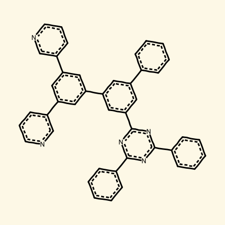 c1ccc(-c2cc(-c3cc(-c4cccnc4)cc(-c4cccnc4)c3)cc(-c3nc(-c4ccccc4)nc(-c4ccccc4)n3)c2)cc1